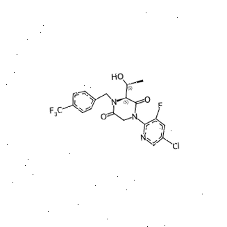 C[C@H](O)[C@H]1C(=O)N(c2ncc(Cl)cc2F)CC(=O)N1Cc1ccc(C(F)(F)F)cc1